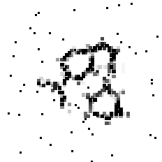 O=[N+]([O-])c1ccc2cc[nH]c2c1.c1cncnc1